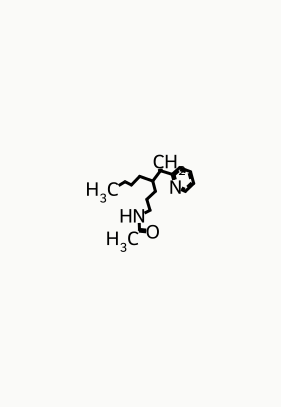 C=C(c1ccccn1)C(CCCC)CCCNC(C)=O